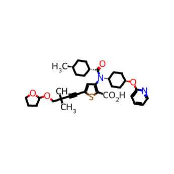 CC(C)(C#Cc1cc(N(C(=O)[C@H]2CC[C@H](C)CC2)[C@H]2CC[C@H](Oc3ccccn3)CC2)c(C(=O)O)s1)COC1CCCO1